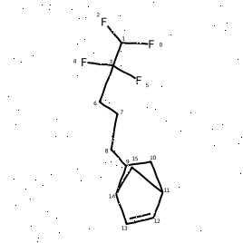 FC(F)C(F)(F)CCCC1CC2C=CC1C2